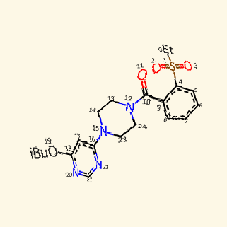 CCS(=O)(=O)c1ccccc1C(=O)N1CCN(c2cc(OCC(C)C)ncn2)CC1